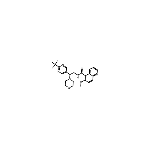 COc1ccc2ncccc2c1C(=O)NCC(c1cnc(C(F)(F)F)nc1)N1CCOCC1